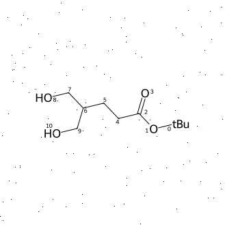 CC(C)(C)OC(=O)CCC(CO)CO